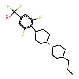 CCC[C@H]1CC[C@H](C2CCC(c3c(F)cc(C(F)(F)Br)cc3F)CC2)CC1